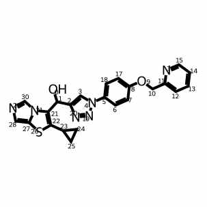 OC(c1cn(-c2ccc(OCc3ccccn3)cc2)nn1)c1c(C2CC2)sc2cncn12